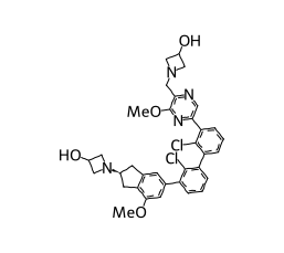 COc1cc(-c2cccc(-c3cccc(-c4cnc(CN5CC(O)C5)c(OC)n4)c3Cl)c2Cl)cc2c1C[C@@H](N1CC(O)C1)C2